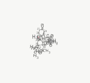 CC(=O)[C@@]1(O)C(C)(O)C[C@H]2[C@@H]3C(OS(C)(=O)=O)C(OS(C)(=O)=O)C4=CC(=O)CC[C@]4(C)[C@H]3CC[C@@]21C